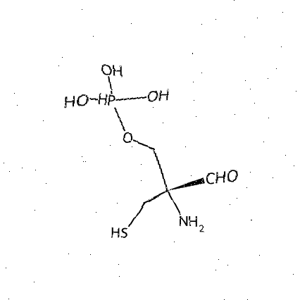 N[C@](C=O)(CS)CO[PH](O)(O)O